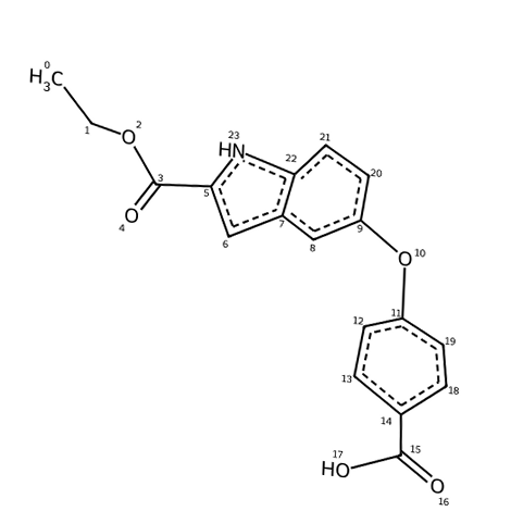 CCOC(=O)c1cc2cc(Oc3ccc(C(=O)O)cc3)ccc2[nH]1